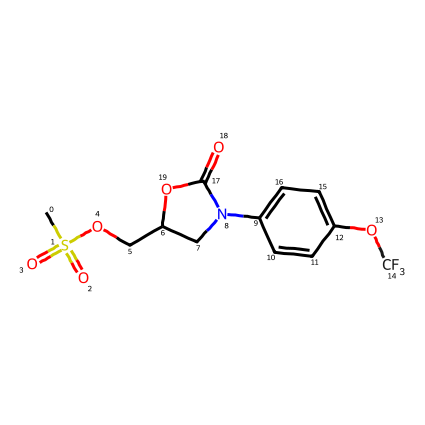 CS(=O)(=O)OCC1CN(c2ccc(OC(F)(F)F)cc2)C(=O)O1